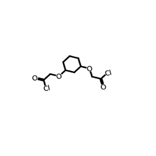 O=C(Cl)COC1CCCC(OCC(=O)Cl)C1